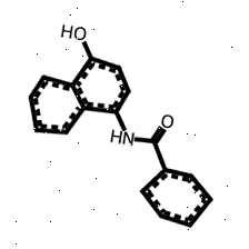 O=C(Nc1ccc(O)c2ccccc12)c1ccccc1